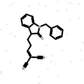 N#CC(C#N)=CCCC1C(=O)N(Cc2ccccc2)c2ccccc21